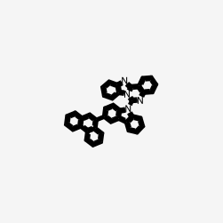 c1ccc2c(c1)cc(-c1ccc3c(c1)c1ccccc1n3-c1nc3ccccc3c3nc4ccccc4n13)c1ccccc12